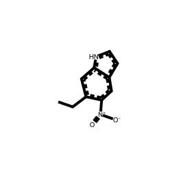 CCc1cc2[nH]ccc2cc1[N+](=O)[O-]